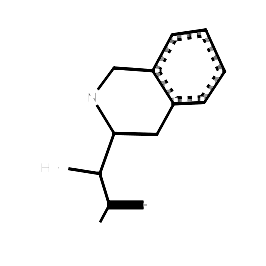 CC(C(=O)O)C1Cc2ccccc2CN1